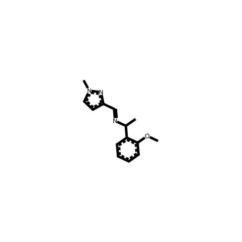 COc1ccccc1C(C)N=Cc1ccn(C)n1